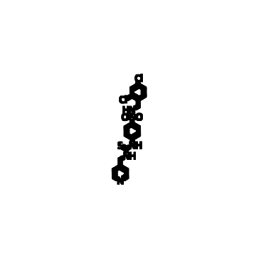 O=S(=O)(NCc1ccc(Cl)cc1Cl)c1ccc(NC(=S)NCc2ccncc2)cc1